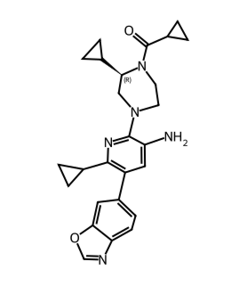 Nc1cc(-c2ccc3ncoc3c2)c(C2CC2)nc1N1CCN(C(=O)C2CC2)[C@H](C2CC2)C1